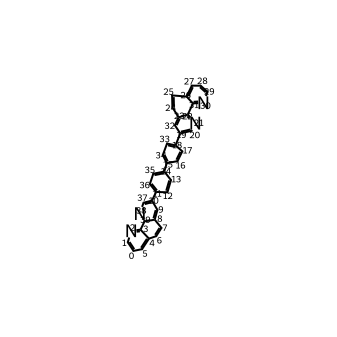 c1cnc2c(c1)ccc1cc(-c3ccc(-c4ccc(-c5cnc6c(ccc7cccnc76)c5)cc4)cc3)cnc12